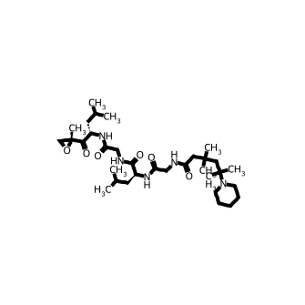 CC(C)C[C@H](NC(=O)CNC(=O)CC(C)(C)CC(C)(C)N1CCCCC1)C(=O)NCC(=O)N[C@@H](CC(C)C)C(=O)[C@@]1(C)CO1